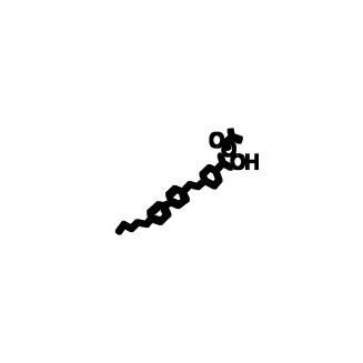 C=C(C)C(=O)OCC(CO)C1CCC(CCc2ccc(-c3ccc(CCCCC)cc3)cc2)CC1